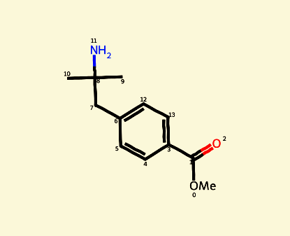 COC(=O)c1ccc(CC(C)(C)N)cc1